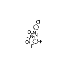 C[C@@H](n1cnn(-c2ccc(Cl)cc2)c1=O)[C@@]1(c2ccc(F)cc2F)CO1